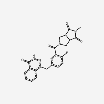 CN1C(=O)C2CN(C(=O)c3cc(Cc4n[nH]c(=O)c5ccccc45)ccc3F)CC2C1=O